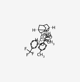 Cc1ccc(S(=O)(=O)N[C@@]23CC4C[C@H](C2)[C@H](NC(=O)C(C)(C)Oc2cccc(C(F)(F)F)c2)[C@@H](C4)C3)cc1